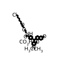 CN(C)c1ccc2c(-c3ccc(C(=O)NCCOCCOCCCCCCCl)cc3C(=O)O)c3ccc4cc(=O)ccc4c3oc2c1